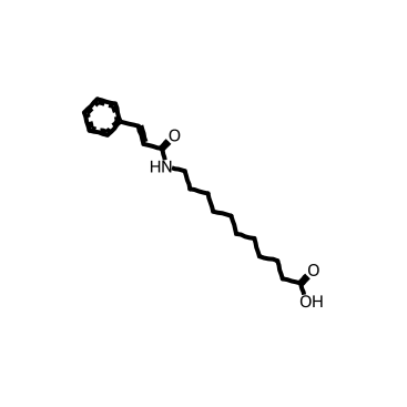 O=C(O)CCCCCCCCCCNC(=O)C=Cc1ccccc1